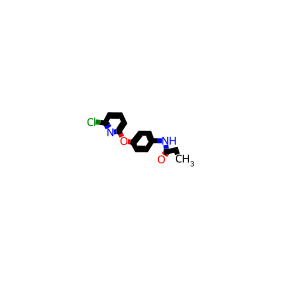 CCC(=O)Nc1ccc(Oc2cccc(Cl)n2)cc1